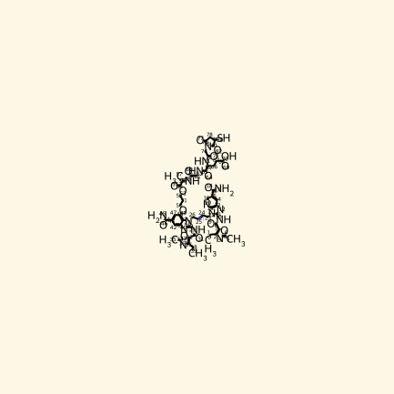 CCc1nc(C)oc1C(=O)Nc1nc2cc(C(N)=O)cnc2n1C/C=C/Cn1c(NC(=O)c2oc(C)nc2CC)nc2cc(C(N)=O)cc(OCCCOC(=O)[C@@H](C)NC(=O)CNC(=O)[C@H](CCC(=O)O)NC(=O)CN3C(=O)CC(S)C3=O)c21